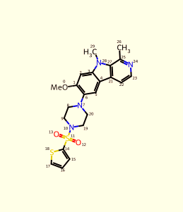 COc1cc2c(cc1N1CCN(S(=O)(=O)c3cccs3)CC1)c1ccnc(C)c1n2C